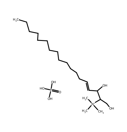 CCCCCCCCCCCCCC=CC(O)C(CO)[N+](C)(C)C.O=P(O)(O)O